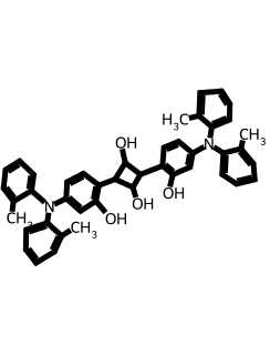 Cc1ccccc1N(c1ccc(C2C(O)C(c3ccc(N(c4ccccc4C)c4ccccc4C)cc3O)C2O)c(O)c1)c1ccccc1C